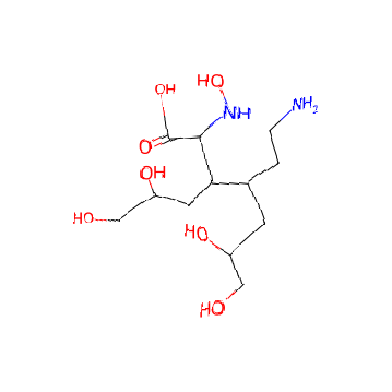 NCCC(CC(O)CO)C(CC(O)CO)C(NO)C(=O)O